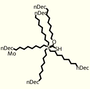 CCCCCCCCCCCCCCCCCCOC(S)=S(CCCCCCCCCCCCCCCCCC)(CCCCCCCCCCCCCCCCCC)(CCCCCCCCCCCCCCCCCC)CCCCCCCCCCCCCCCCCC.[Mo]